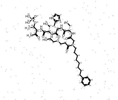 CC(C)C[C@H](NC(=O)CN(CCCCCCCCc1ccccc1)C(=O)CCOCCO)C(=O)N[C@@H](Cc1ncc[nH]1)C(=O)N[C@@H](CO)C(=O)N[C@H](C(N)=O)[C@@H](C)OP(=O)(O)O